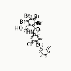 Cc1ccccc1COc1ccc(NC(=O)c2c(Br)c(Br)c(Br)c(Br)c2C(=O)O)cc1Cl